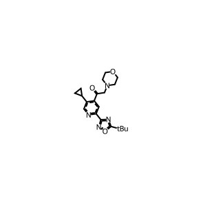 CC(C)(C)c1nc(-c2cc(C(=O)CN3CCOCC3)c(C3CC3)cn2)no1